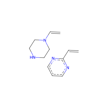 C=CN1CCNCC1.C=Cc1ncccn1